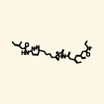 C=C/C(=C\C(=C/C)CC(=C)NC(=C)SC(=C)CCCCc1ccc(NC(=O)C/C(C)=C/C)nn1)CC(=O)N(C)CC